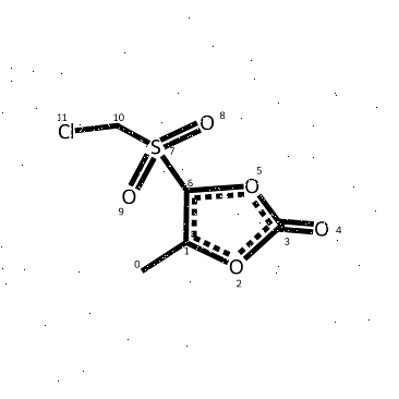 Cc1oc(=O)oc1S(=O)(=O)CCl